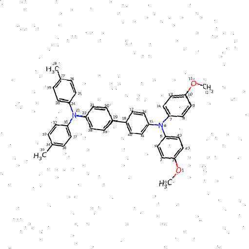 COc1ccc(N(c2ccc(OC)cc2)c2ccc(-c3ccc(N(c4ccc(C)cc4)c4ccc(C)cc4)cc3)cc2)cc1